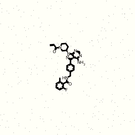 C=CC(=O)N1CCC[C@@H](n2nc(-c3ccc(CNC(=O)c4c(C)cccc4F)cc3)c3c(N)ncnc32)C1